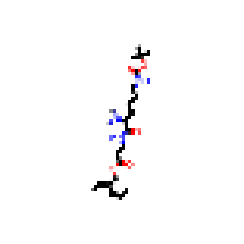 C/C=C\C(=C/C)COC(=O)CCNC(=O)C(CCCCNC(=O)OC(C)(C)C)N(C)C